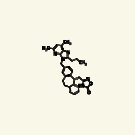 CCCc1nc2c(C)cc(C)nc2n1Cc1ccc2c(c1)CCc1ccccc1/C2=C\c1noc(=O)[nH]1